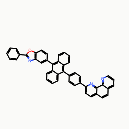 c1ccc(-c2nc3cc(-c4c5ccccc5c(-c5ccc(-c6ccc7ccc8cccnc8c7n6)cc5)c5ccccc45)ccc3o2)cc1